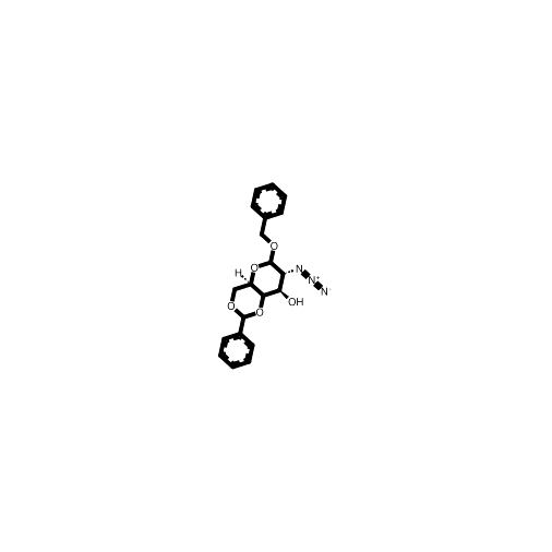 [N-]=[N+]=N[C@H]1C(OCc2ccccc2)O[C@@H]2COC(c3ccccc3)OC2[C@@H]1O